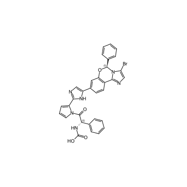 O=C(O)N[C@H](C(=O)n1cccc1-c1ncc(-c2ccc3c(c2)O[C@@H](c2ccccc2)n2c(Br)cnc2-3)[nH]1)c1ccccc1